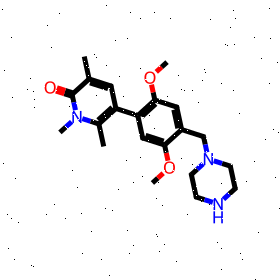 COc1cc(-c2cc(C)c(=O)n(C)c2C)c(OC)cc1CN1CCNCC1